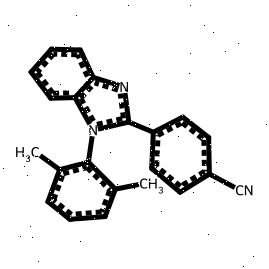 Cc1cccc(C)c1-n1c(-c2ccc(C#N)cc2)nc2ccccc21